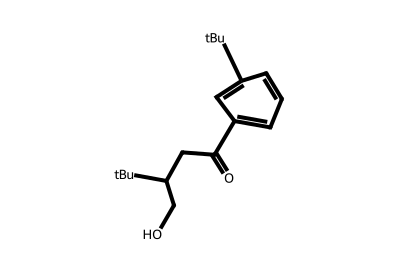 CC(C)(C)c1cccc(C(=O)CC(CO)C(C)(C)C)c1